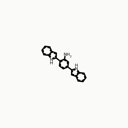 Nc1cc(-c2cc3ccccc3[nH]2)ccc1-c1cc2ccccc2[nH]1